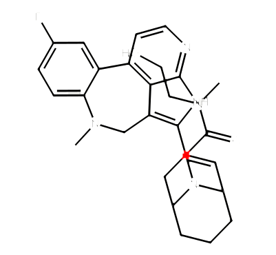 CN(CCO)C(=O)CN1C2C=C(c3[nH]c4nccc5c4c3CN(C)c3ccc(F)cc3-5)CC1CCC2